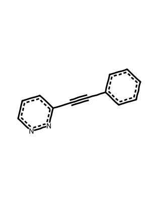 C(#Cc1cccnn1)c1ccccc1